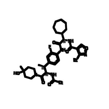 CCC(=O)N[C@@H](C(=O)N1CCC(C)(O)CC1)[C@@H](C)c1ccc(NC(=O)[C@@H](NC(=O)c2conc2CC)C2CCCCCC2)c(F)c1